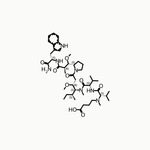 CC[C@H](C)[C@@H]([C@@H](CC(=O)N1CCC[C@H]1C(OC)[C@@H](C)C(=O)N[C@@H](Cc1c[nH]c2ccccc12)C(N)=O)OC)N(C)C(=O)[C@@H](NC(=O)[C@H](C(C)C)N(C)CCCC(=O)O)C(C)C